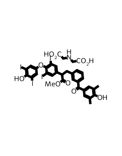 COC(=O)C(Cc1cccc(C(=O)c2cc(C)c(O)c(C)c2)c1)c1cc(I)c(Oc2cc(I)c(O)c(I)c2)c(I)c1.O=C(O)CNCC(=O)O